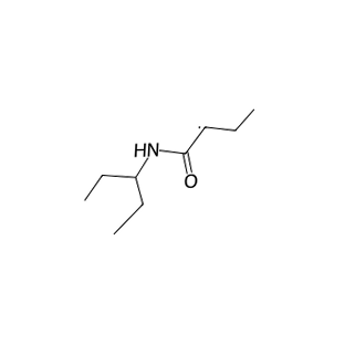 CC[CH]C(=O)NC(CC)CC